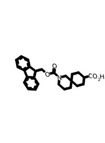 O=C(O)C1CCC2(CCCN(C(=O)OCC3c4ccccc4-c4ccccc43)C2)CC1